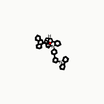 c1cc(-c2ccc(N(c3ccc(-c4cc5ccccc5c5ccccc45)cc3)c3ccccc3C34C[C@@H]5CC6C[C@@H](C3)C65C4)cc2)cc(-n2c3ccccc3c3ccccc32)c1